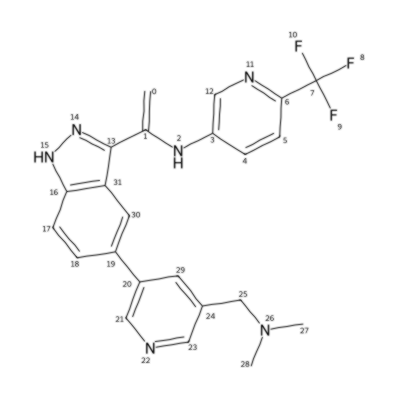 C=C(Nc1ccc(C(F)(F)F)nc1)c1n[nH]c2ccc(-c3cncc(CN(C)C)c3)cc12